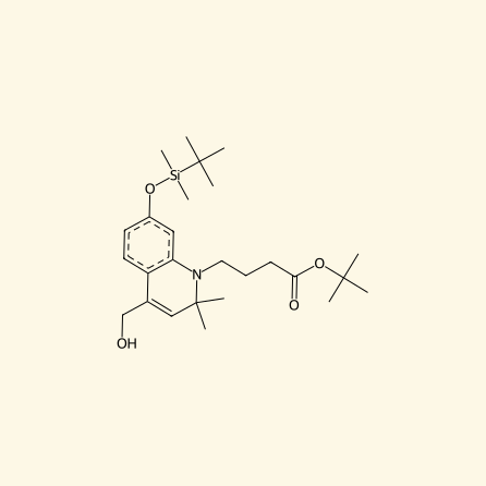 CC(C)(C)OC(=O)CCCN1c2cc(O[Si](C)(C)C(C)(C)C)ccc2C(CO)=CC1(C)C